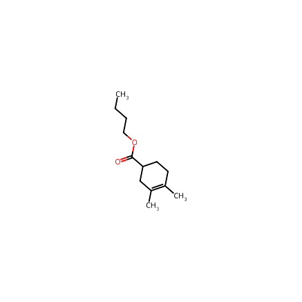 CCCCOC(=O)C1CCC(C)=C(C)C1